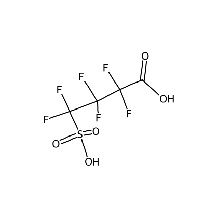 O=C(O)C(F)(F)C(F)(F)C(F)(F)S(=O)(=O)O